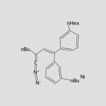 CCCCCCc1cccc(C(=CC(=C=[N+]=[N-])CCCC)c2cccc(CCCC)c2)c1.[Ni]